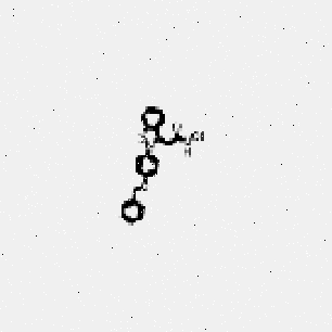 O=C(CC1c2ccccc2SN1c1ccc(OCc2ccccc2)cc1)NO